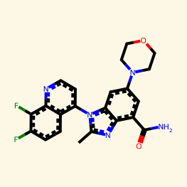 Cc1nc2c(C(N)=O)cc(N3CCOCC3)cc2n1-c1ccnc2c(F)c(F)ccc12